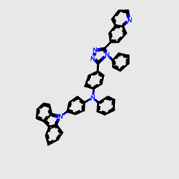 c1ccc(N(c2ccc(-c3nnc(-c4ccc5ncccc5c4)n3-c3ccccc3)cc2)c2ccc(-n3c4ccccc4c4ccccc43)cc2)cc1